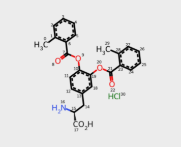 Cc1ccccc1C(=O)Oc1ccc(C[C@H](N)C(=O)O)cc1OC(=O)c1ccccc1C.Cl